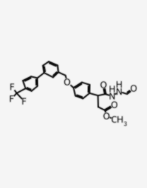 COC(=O)CC(C(=O)NNC=O)c1ccc(OCc2cccc(-c3ccc(C(F)(F)F)cc3)c2)cc1